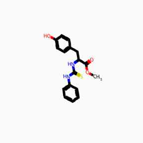 COC(=O)C(Cc1ccc(O)cc1)NC(=S)Nc1ccccc1